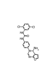 NC1c2ccoc2N=CN1c1ccc(NC(=O)Nc2cc(Cl)ccc2Cl)cc1